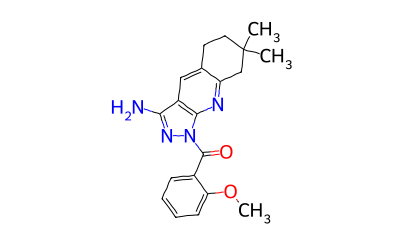 COc1ccccc1C(=O)n1nc(N)c2cc3c(nc21)CC(C)(C)CC3